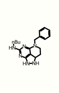 CCCCNc1nc2c3c(n1)N(Cc1ccccc1)CCC3NN2